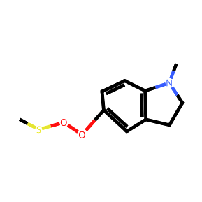 CSOOc1ccc2c(c1)CCN2C